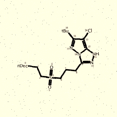 CCCCCCCCCCCCS(=O)(=O)CCCc1n[nH]c2c(Cl)c(C(C)(C)C)nn12